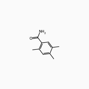 Cc1cc(C)c(C(N)=O)cc1C